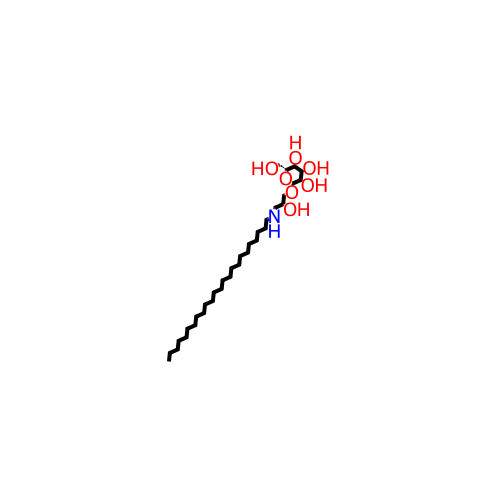 CCCCCCCCCCCCCCCCCCCCCCCCNCC(O)CO[C@@H]1O[C@H](CO)[C@H](O)[C@H](O)[C@H]1O